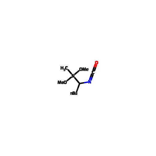 CCCCC(N=C=O)[Si](C)(OC)OC